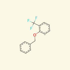 FC(F)(F)c1ccc[c]c1OCc1ccccc1